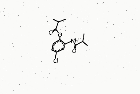 CC(C)C(=O)Nc1cc(Cl)ccc1OC(=O)C(C)C